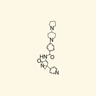 O=C(NC1=CC2(c3ccncc3)CN2C1=O)c1ccc(N2CCC(N3CCCC3)CC2)cc1